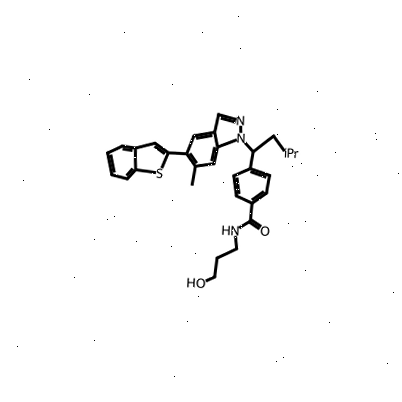 Cc1cc2c(cnn2C(CC(C)C)c2ccc(C(=O)NCCCO)cc2)cc1-c1cc2ccccc2s1